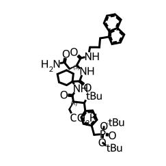 CC(C)(C)OP(=O)(Cc1ccc(C([C@@H](CC(=O)O)C(=O)NC2(C(=O)N[C@@H](CC(N)=O)C(=O)NCCCc3cccc4ccccc34)CCCCC2)C(C)(C)C)cc1)OC(C)(C)C